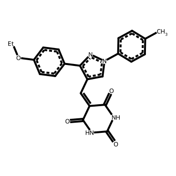 CCOc1ccc(-c2nn(-c3ccc(C)cc3)cc2C=C2C(=O)NC(=O)NC2=O)cc1